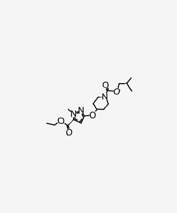 CCOC(=O)c1cc(OC2CCN(C(=O)OCC(C)C)CC2)nn1C